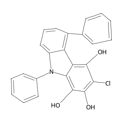 Oc1c(Cl)c(O)c2c3c(-c4ccccc4)cccc3n(-c3ccccc3)c2c1O